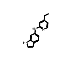 CCc1ccnc(Nc2ccc3cc[nH]c3c2)c1